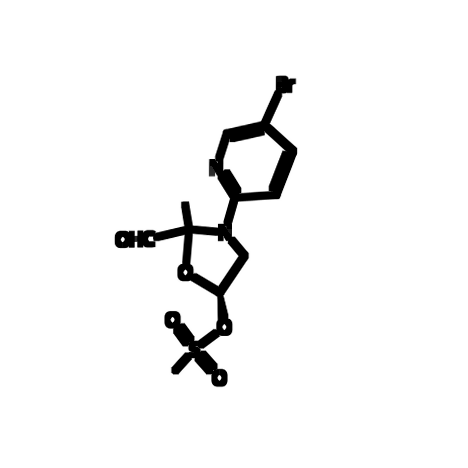 CC1(C=O)O[C@H](OS(C)(=O)=O)CN1c1ccc(Br)cn1